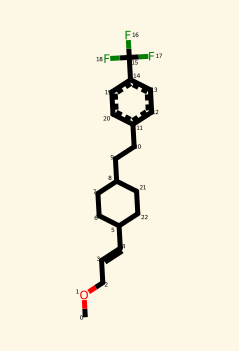 COCC=CC1CCC(CCc2ccc(C(F)(F)F)cc2)CC1